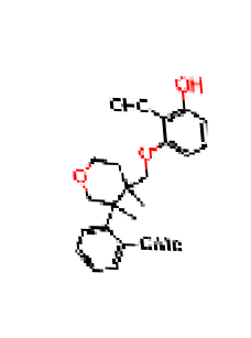 COc1ccccc1C1(C)COCCC1(C)COc1cccc(O)c1C=O